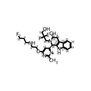 Cc1nc(OCCNCCCF)cc([C@@H]2c3[nH]c4ccccc4c3C[C@@H](C)N2CC(F)(F)CO)n1